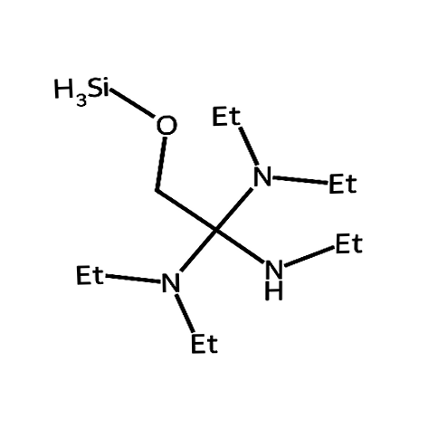 CCNC(CO[SiH3])(N(CC)CC)N(CC)CC